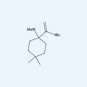 C=C(C(C)CC)C1(NC)CCC(C)(C)CC1